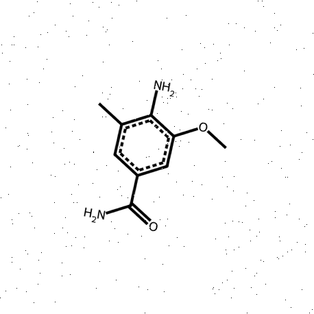 COc1cc(C(N)=O)cc(C)c1N